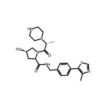 Cc1ncsc1-c1ccc(CNC(=O)C2C[C@@H](O)CN2C(=O)[C@@H](C)N2CCNCC2)cc1